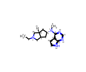 CCN1CC2C[C@@H](N(C)c3ncnc4[nH]ccc34)C[C@H]2C1